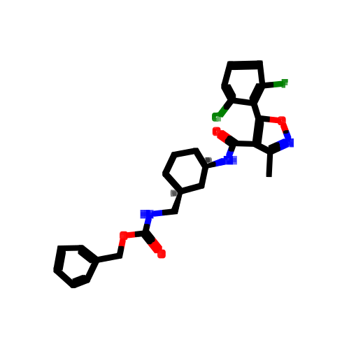 Cc1noc(-c2c(F)cccc2Cl)c1C(=O)N[C@@H]1CCC[C@H](CNC(=O)OCc2ccccc2)C1